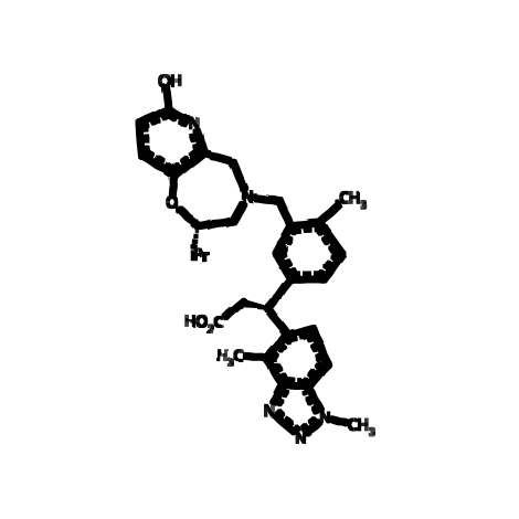 Cc1ccc([C@H](CC(=O)O)c2ccc3c(nnn3C)c2C)cc1CN1Cc2nc(O)ccc2O[C@@H](C(C)C)C1